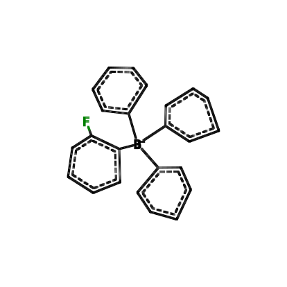 Fc1ccccc1[B-](c1ccccc1)(c1ccccc1)c1ccccc1